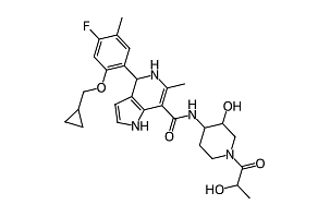 CC1=C(C(=O)NC2CCN(C(=O)C(C)O)CC2O)c2[nH]ccc2C(c2cc(C)c(F)cc2OCC2CC2)N1